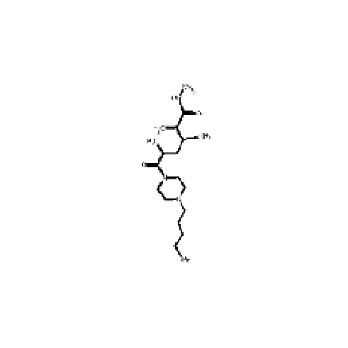 CC(C)CCCCN1CCN(C(=O)C(C)CC(C)C(C)C(=O)NN)CC1